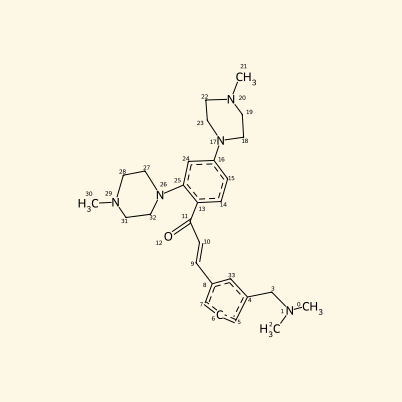 CN(C)Cc1cccc(C=CC(=O)c2ccc(N3CCN(C)CC3)cc2N2CCN(C)CC2)c1